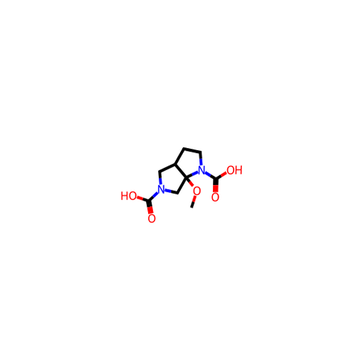 COC12CN(C(=O)O)CC1CCN2C(=O)O